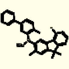 Cc1ccc(-c2ccccc2)cc1N(c1cc2c(cc1C)C(C)(C)c1cccc(F)c1-2)C(C)(C)C